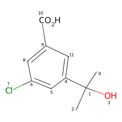 CC(C)(O)c1cc(Cl)cc(C(=O)O)c1